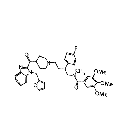 COc1cc(C(=O)N(C)CC(CCN2CCC(C(=O)c3nc4ccccc4n3Cc3ccco3)CC2)c2ccc(F)cc2)cc(OC)c1OC